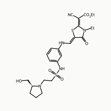 CCOC(=O)C(C#N)=c1sc(=CNc2cccc(NS(=O)(=O)CCN3CCC[C@H]3CO)c2)c(=O)n1CC